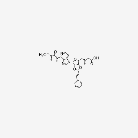 CCNC(=O)Nc1ncnc2c1ncn2C1OC(CNCC(=O)O)C2OC(C=Cc3ccccc3)OC21